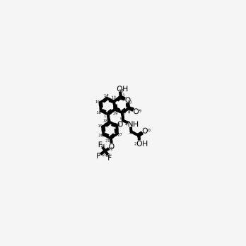 O=C(O)CNC(=O)c1c(=O)oc(O)c2cccc(-c3ccc(OC(F)(F)F)cc3)c12